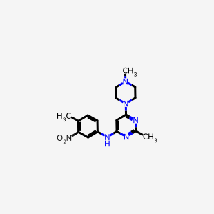 Cc1nc(Nc2ccc(C)c([N+](=O)[O-])c2)cc(N2CCN(C)CC2)n1